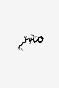 CCNC(Cc1ccccc1)C(=O)N[C@@H](CCCCN)C(C)=O